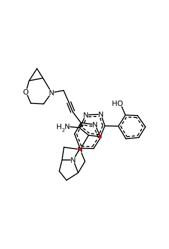 Nc1nnc(-c2ccccc2O)cc1N1CC2CCC(C1)N2c1ccnc(C#CCN2CCOC3CC32)c1